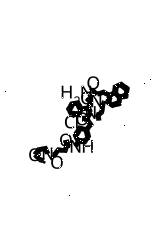 CC1CCN(C(Cc2cccc3ccccc23)C(N)=O)C(=O)C(c2cccc(Cl)c2)N1C(=O)Cc1ccc(NC(=O)CCC(=O)N2CCOCC2)cc1